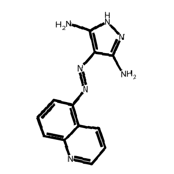 Nc1n[nH]c(N)c1/N=N/c1cccc2ncccc12